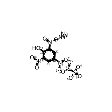 O=S([O-])S(=O)(=O)[O-].O=[N+]([O-])c1cc([N+](=O)[O-])c(O)c([N+](=O)[O-])c1.[Na+].[Na+]